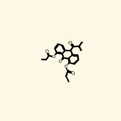 CCC(=O)Oc1cccc2c1C(=O)c1c(OC(=O)CC)cccc1C2C(=O)C(C)C